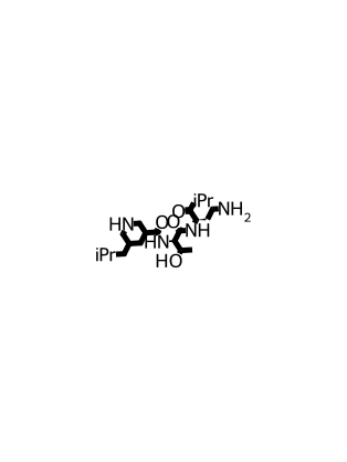 CC(C)CC1CNCC(C(=O)N[C@H](C(=O)N[C@@H](CCN)C(=O)C(C)C)C(C)O)C1